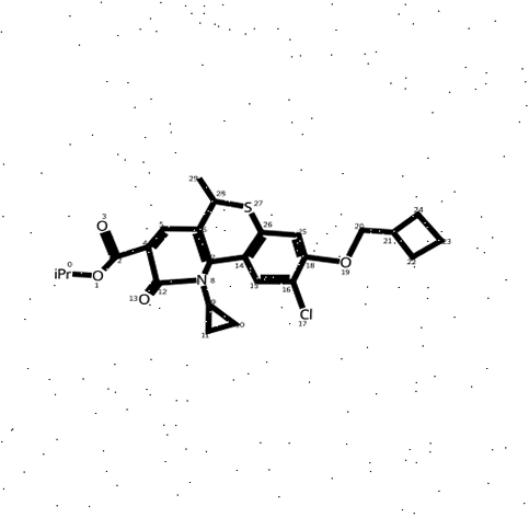 CC(C)OC(=O)c1cc2c(n(C3CC3)c1=O)-c1cc(Cl)c(OCC3CCC3)cc1SC2C